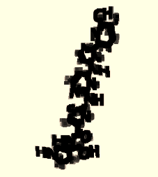 Cc1cccc(-c2nccc(Nc3ccnc(Nc4nc(C(=O)NC5(CO)CCNC5)cs4)n3)n2)n1